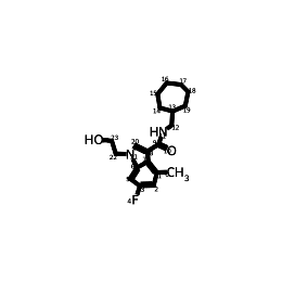 Cc1cc(F)cc2c1c(C(=O)NCC1CCCCCC1)cn2CCO